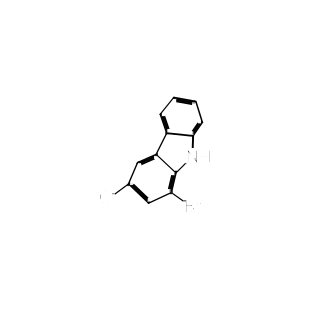 Clc1cc(Br)c2[nH]c3ccccc3c2c1